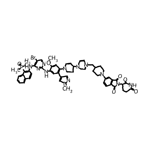 COc1cc(N2CCC(N3CCN(CC4CCN(c5ccc6c(c5)C(=O)N(C5CCC(=O)NC5=O)C6=O)CC4)CC3)CC2)c(-c2cnn(C)c2)cc1Nc1ncc(Br)c(Nc2ccc3ccccc3c2P(C)(C)=O)n1